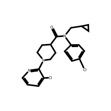 O=C(C1CCN(c2ncccc2Cl)CC1)N(CC1CC1)c1ccc(Cl)cc1